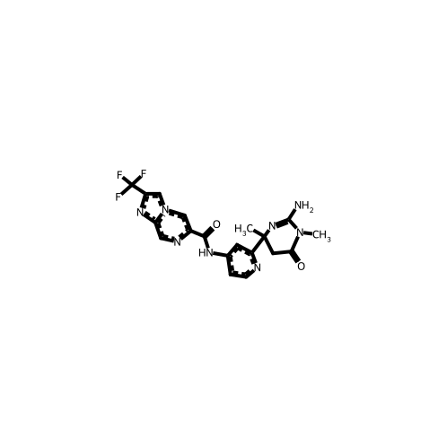 CN1C(=O)CC(C)(c2cc(NC(=O)c3cn4cc(C(F)(F)F)nc4cn3)ccn2)N=C1N